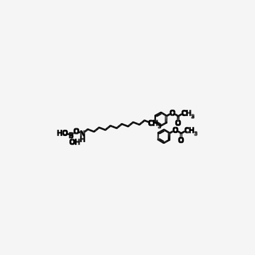 CC(=O)Oc1ccccc1.CC(=O)Oc1ccccc1.CCCCCCCCCCCCNOB(O)O